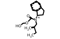 C=C(CC)CN(C(=O)OCO)[C@@H]1CCc2ccccc21